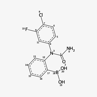 NC(=O)N(c1ccc(Cl)c(F)c1)c1ccccc1B(O)O